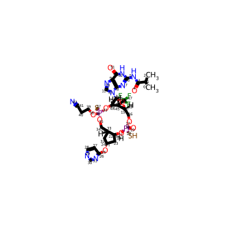 CC(C)C(=O)Nc1nc2c(ncn2[C@@H]2O[C@@H]3COP(=O)(S)O[C@H]4C[C@H](Oc5ccncn5)C[C@@H]4COP(=S)(OCCC#N)O[C@@H]2[C@@H]3C(F)(F)F)c(=O)[nH]1